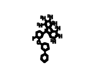 [2H]c1cc2c(c([2H])c1[2H])c1c([2H])c([2H])c([2H])c([2H])c1n2-c1ccc(I)c(Oc2cccc(-c3ccccc3)c2)c1